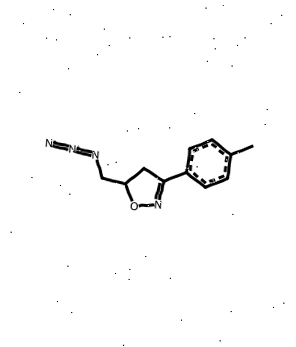 Cc1ccc(C2=NOC(CN=[N+]=[N-])C2)cc1